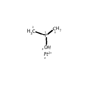 CP(C)O.[Pt+2]